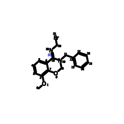 COc1cccc2c1OCN(Cc1ccccc1)/C2=N\CBr